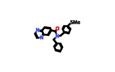 CSc1ccc(CN(Cc2ccccc2)C(=O)c2ccc3nccnc3c2)cc1